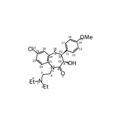 CCN(CC)CCN1C(=O)[C@H](O)[C@H](c2ccc(OC)cc2)Sc2cc(Cl)ccc21